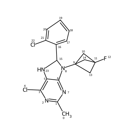 Cc1nc(Cl)c2c(n1)N(C13CC(F)(C1)C3)C(c1ccccc1Cl)N2